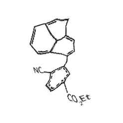 CCOC(=O)c1ccc(C#N)c(C2=CC=C3CC=C4C=CC=C2C43)c1